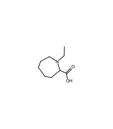 CCN1CCCCCC1C(=O)O